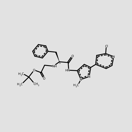 Cn1nc(-c2ccnc(Cl)c2)cc1NC(=O)[C@H](Cc1ccccc1)NCC(=O)OC(C)(C)C